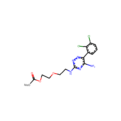 COC(=O)OCCOCCNc1nnc(-c2cccc(Cl)c2Cl)c(N)n1